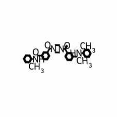 Cc1ccccc1NC(=O)c1cccc(C(=O)N2CCN(C(=O)c3cccc(C(C)Nc4ccccc4C)c3)CC2)c1